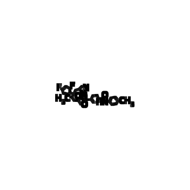 Cc1ccc(NC(=O)c2ccc(C3OCC(CC(C)C(O)(CC4C=NC=N4)c4ccc(F)cc4F)CO3)cc2)cc1